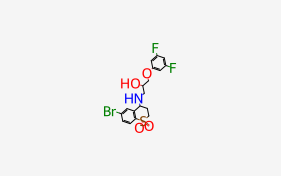 O=S1(=O)CCC(NCC(O)COc2cc(F)cc(F)c2)c2cc(Br)ccc21